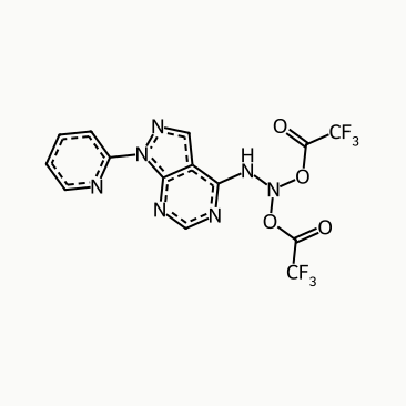 O=C(ON(Nc1ncnc2c1cnn2-c1ccccn1)OC(=O)C(F)(F)F)C(F)(F)F